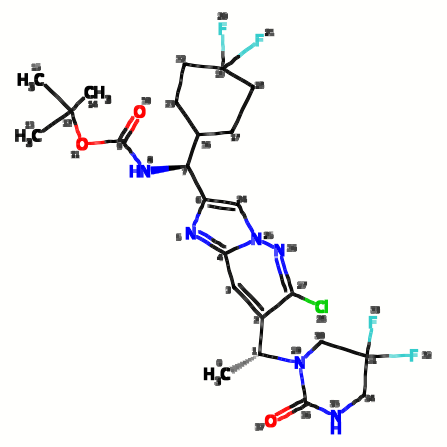 C[C@H](c1cc2nc([C@@H](NC(=O)OC(C)(C)C)C3CCC(F)(F)CC3)cn2nc1Cl)N1CC(F)(F)CNC1=O